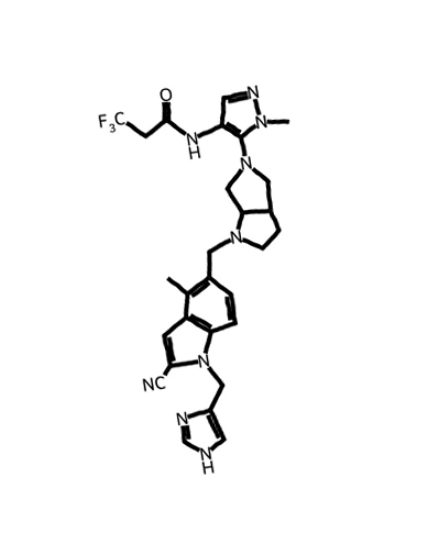 Cc1c(CN2CCC3CN(c4c(NC(=O)CC(F)(F)F)cnn4C)CC32)ccc2c1cc(C#N)n2Cc1c[nH]cn1